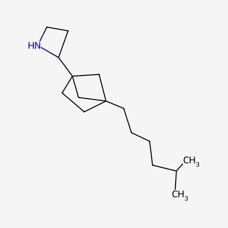 CC(C)CCCCC12CCC(C3CCN3)(C1)C2